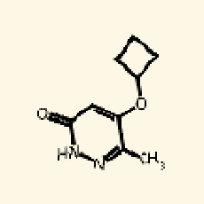 Cc1n[nH]c(=O)cc1OC1CCC1